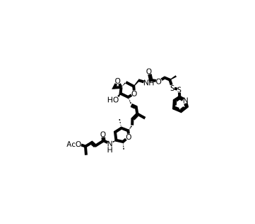 CC(=O)OC(C)C=CC(=O)N[C@@H]1C[C@H](C)[C@H](CC=C(C)C=C[C@H]2O[C@H](CNC(=O)OC[C@@H](C)SSc3ccccn3)C[C@@]3(CO3)[C@@H]2O)O[C@@H]1C